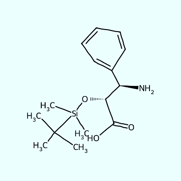 CC(C)(C)[Si](C)(C)O[C@@H](C(=O)O)[C@H](N)c1ccccc1